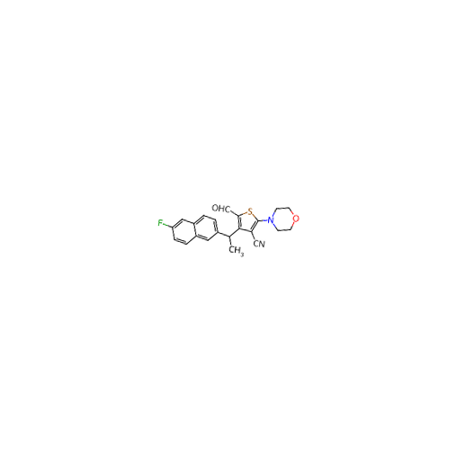 CC(c1ccc2cc(F)ccc2c1)c1c(C=O)sc(N2CCOCC2)c1C#N